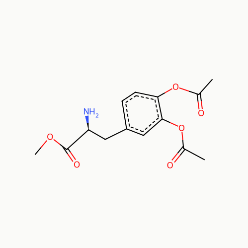 COC(=O)[C@@H](N)Cc1ccc(OC(C)=O)c(OC(C)=O)c1